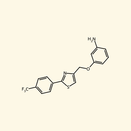 Nc1cccc(OCc2csc(-c3ccc(C(F)(F)F)cc3)n2)c1